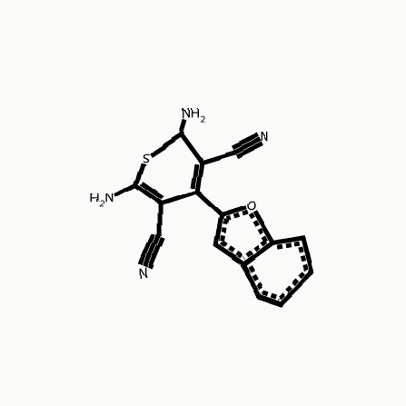 N#CC1=C(N)SC(N)C(C#N)=C1c1cc2ccccc2o1